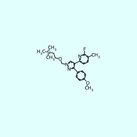 COc1ccc(-c2nn(COCC[Si](C)(C)C)cc2-c2ccc(C)c(F)n2)cc1